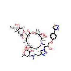 CC[C@H]1OC(=O)[C@H](C)[C@@H](O[C@H]2C[C@@](C)(OC)[C@@H](O)[C@H](C)O2)[C@H](C)[C@@H](O[C@@H]2O[C@H](C)C[C@H](N(C)CCc3cn(CC(O)COc4ccc(-c5csnn5)cc4)nn3)[C@H]2O)[C@](C)(O)C[C@@H](C)CN(C)[C@H](C)[C@@H](O)[C@]1(C)O